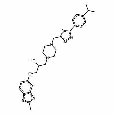 Cc1nc2cc(OC[C@@H](O)CN3CCN(Cc4nc(-c5ccc(C(C)C)cc5)no4)CC3)ccc2s1